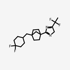 CC(F)(F)C1=NC(C23CCC(CC4CCC(F)(F)CC4)(CC2)C3)=NC1